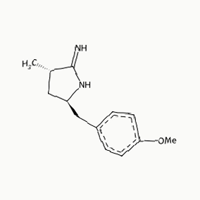 COc1ccc(C[C@H]2C[C@H](C)C(=N)N2)cc1